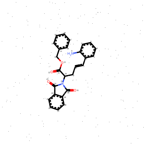 Nc1ccccc1C=CCC(C(=O)OCc1ccccc1)N1C(=O)c2ccccc2C1=O